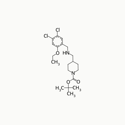 CCOc1cc(Cl)c(Cl)cc1CNCC1CCN(C(=O)OC(C)(C)C)CC1